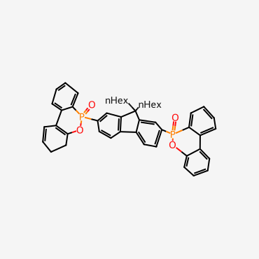 CCCCCCC1(CCCCCC)c2cc(P3(=O)OC4=C(C=CCC4)c4ccccc43)ccc2-c2ccc(P3(=O)Oc4ccccc4-c4ccccc43)cc21